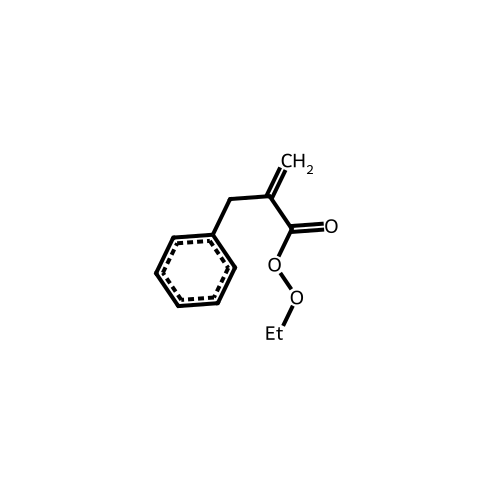 C=C(Cc1ccccc1)C(=O)OOCC